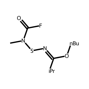 CCCCOC(=NSN(C)C(=O)F)C(C)C